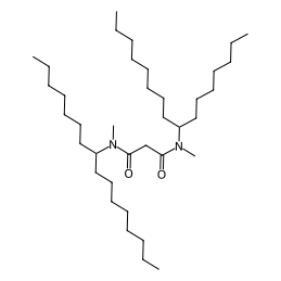 CCCCCCCCC(CCCCCCC)N(C)C(=O)CC(=O)N(C)C(CCCCCCC)CCCCCCCC